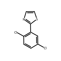 Clc1ccc(Cl)c(-c2nccs2)c1